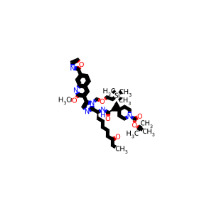 CCC(=O)CCCCC[C@H](NC(=O)[C@H]1CC12CCN(C(=O)OC(C)(C)C)CC2)c1ncc(-c2cc3ccc(-c4ncco4)cc3nc2OC)n1COCC[Si](C)(C)C